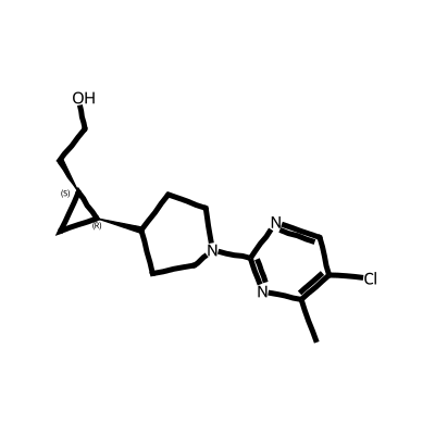 Cc1nc(N2CCC([C@H]3C[C@H]3CCO)CC2)ncc1Cl